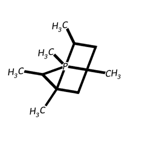 CC1CC2(C)CC3(C)C(C)P123C